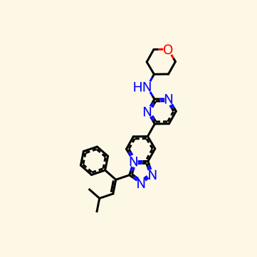 CC(C)C=C(c1ccccc1)c1nnc2cc(-c3ccnc(NC4CCOCC4)n3)ccn12